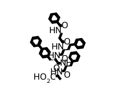 CC(NC(=O)[C@H](CC1C=CC=CC1)NC(=O)[C@H](Cc1ccc(-c2ccccc2)cc1)NC(=O)[C@H](CCc1ccccc1)NC(=O)CCNC(=O)c1ccccc1)C(=O)O